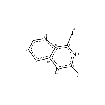 Cc1nc(I)c2ncccc2n1